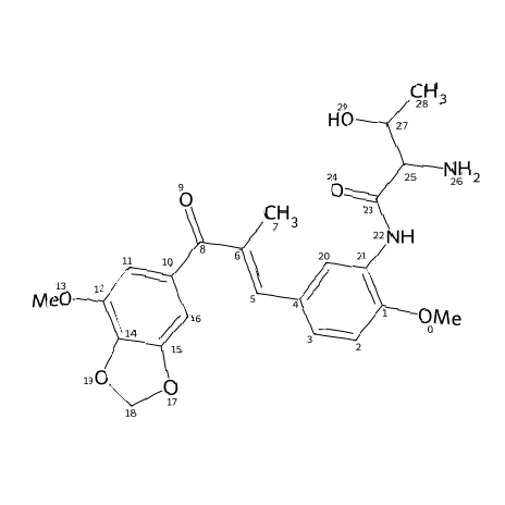 COc1ccc(C=C(C)C(=O)c2cc(OC)c3c(c2)OCO3)cc1NC(=O)C(N)C(C)O